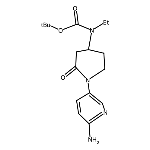 CCN(C(=O)OC(C)(C)C)C1CCN(c2ccc(N)nc2)C(=O)C1